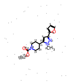 Cn1nc(-c2ccco2)cc1C1CCN(C(=O)OC(C)(C)C)CC1